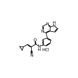 Cl.N#C/C(=C\C1CC1)C(=O)Nc1cccc(-c2ncnc3[nH]ccc23)c1